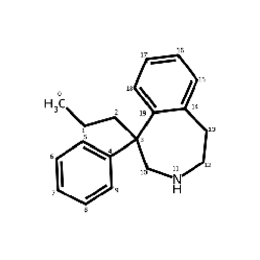 CCCC1(c2ccccc2)CNCCc2ccccc21